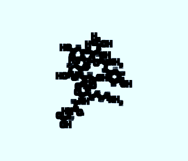 C[C@@H](O)[C@H](NC(=O)[C@@H](N)Cc1ccc(O)cc1)C(=O)N[C@@H](CC(=O)O)C(=O)N[C@@H](CC(=O)O)C(=O)N[C@@H](CC(=O)O)C(=O)N[C@@H](CCCCN)C(=O)NCC(=O)NCC(=O)O